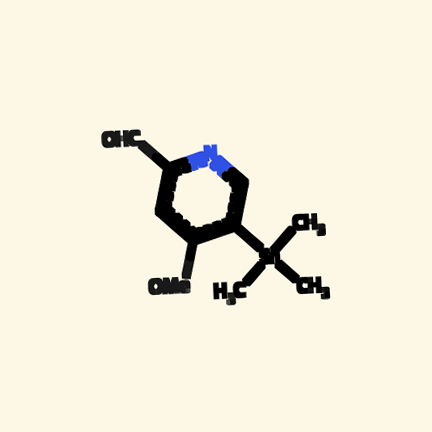 COc1cc(C=O)nc[c]1[Sn]([CH3])([CH3])[CH3]